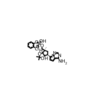 CC1(C)O[C@H]2[C@H](c3ccc4c(N)ncnn34)C[C@](C)(COP(=O)(O)Oc3ccccc3Cl)[C@H]2O1